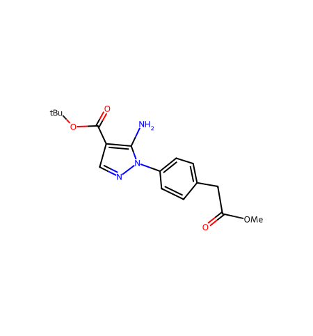 COC(=O)Cc1ccc(-n2ncc(C(=O)OC(C)(C)C)c2N)cc1